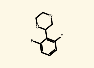 Fc1cccc(F)c1C1C[N]CCO1